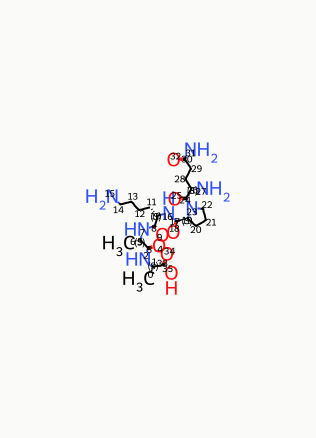 C[C@H](NC(=O)[C@H](C)NC(=O)[C@H](CCCCN)NC(=O)[C@@H]1CCCN1C(=O)[C@@H](N)CCC(N)=O)C(=O)O